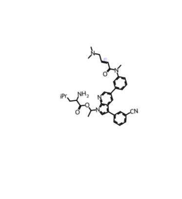 CC(C)CC(N)C(=O)OC(C)n1cc(-c2cccc(C#N)c2)c2cc(-c3cccc(N(C)C(=O)/C=C/CN(C)C)c3)cnc21